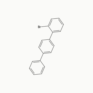 Brc1ccccc1-c1ccc(-c2ccccc2)cc1